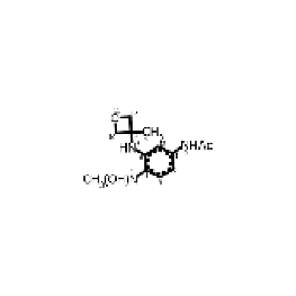 CC(=O)Nc1ccc(N(C)O)c(NC2(C)COC2)c1